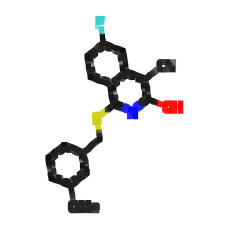 COc1cccc(CSc2nc(O)c(C#N)c3cc(F)ccc23)c1